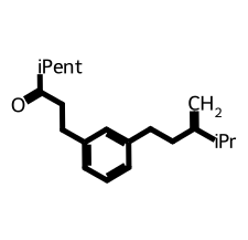 C=C(CCc1cccc(CCC(=O)C(C)CCC)c1)C(C)C